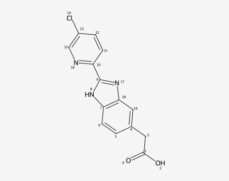 O=C(O)Cc1ccc2[nH]c(-c3ccc(Cl)cn3)nc2c1